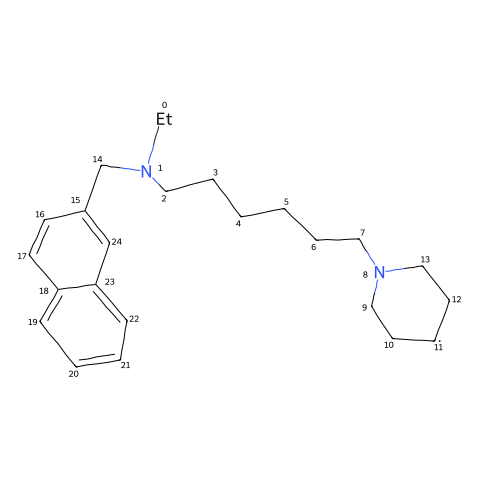 CCN(CCCCCCN1CC[CH]CC1)Cc1ccc2ccccc2c1